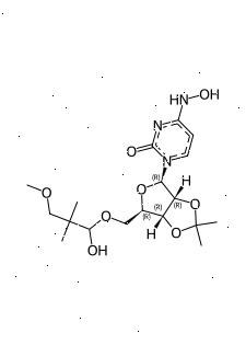 COCC(C)(C)C(O)OC[C@H]1O[C@@H](n2ccc(NO)nc2=O)[C@@H]2OC(C)(C)O[C@@H]21